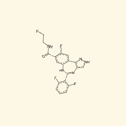 O=C(NCCF)c1cc2c(cc1F)-c1n[nH]cc1N=C(c1c(F)cccc1F)N2